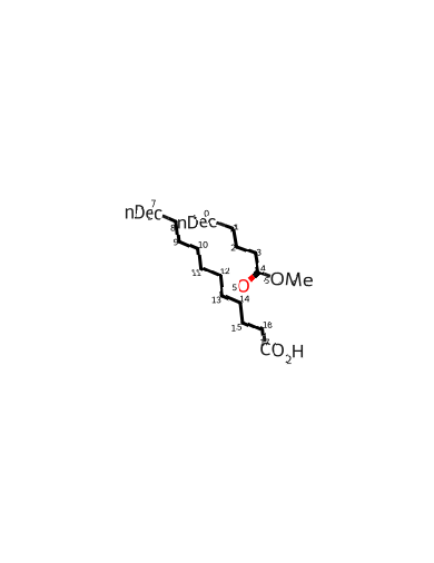 CCCCCCCCCCCCCC(=O)OC.CCCCCCCCCCCCCCCCCCCC(=O)O